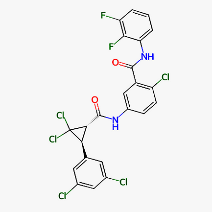 O=C(Nc1cccc(F)c1F)c1cc(NC(=O)[C@@H]2[C@@H](c3cc(Cl)cc(Cl)c3)C2(Cl)Cl)ccc1Cl